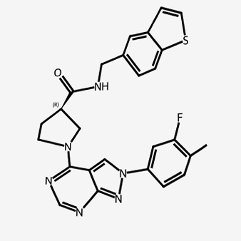 Cc1ccc(-n2cc3c(N4CC[C@@H](C(=O)NCc5ccc6sccc6c5)C4)ncnc3n2)cc1F